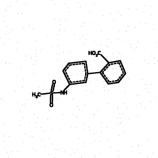 CS(=O)(=O)Nc1cccc(-c2ccccc2C(=O)O)c1